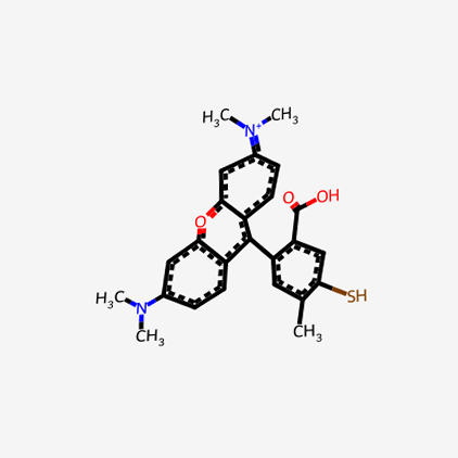 Cc1cc(-c2c3ccc(=[N+](C)C)cc-3oc3cc(N(C)C)ccc23)c(C(=O)O)cc1S